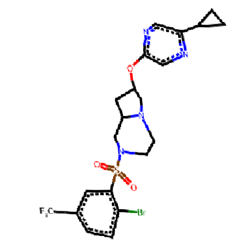 O=S(=O)(c1cc(C(F)(F)F)ccc1Br)N1CCN2CC(Oc3cnc(C4CC4)cn3)CC2C1